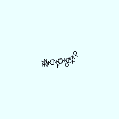 CC(=O)NC[C@H]1CN(c2ccc(N3CCC(n4nnc(C)n4)CC3)c(F)c2)C(=O)O1